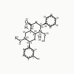 Cc1cccc([C@@H]2C[C@H]3[C@@H](CN2SI)C(=O)C[C@@H](c2ccccc2)N3SI)c1